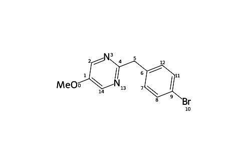 COc1cnc(Cc2ccc(Br)cc2)nc1